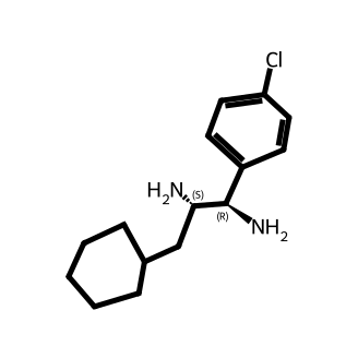 N[C@H](c1ccc(Cl)cc1)[C@@H](N)CC1CCCCC1